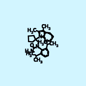 Cc1c(C)n(C2(CN(C(N)=O)c3c(C(C)C)cccc3C(C)C)CCCC2)c2ncccc12